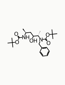 C[C@@H](CC(O)[C@H](C)N(Cc1ccccc1)C(=O)OC(C)(C)C)NC(=O)OC(C)(C)C